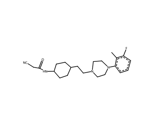 Cc1c(F)cccc1N1CCN(CCC2CCC(NC(=O)CC#N)CC2)CC1